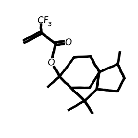 C=C(C(=O)OC1(C)CCC23CC1C(C)(C)C2CCC3C)C(F)(F)F